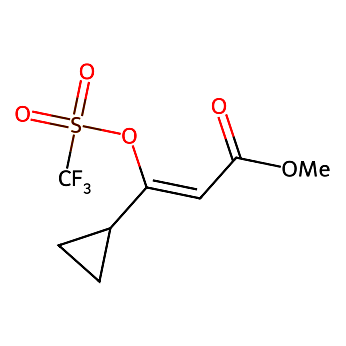 COC(=O)C=C(OS(=O)(=O)C(F)(F)F)C1CC1